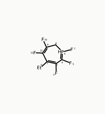 CCC1=C(F)C(F)=[PH](F)CC(F)=C1F